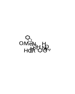 CC[C@]1(c2cccc(NS(=O)(=O)C3CC3)c2)[C@@H]2CN(CC3(OC)Cc4ccccc4C3)C[C@@H]21.Cl